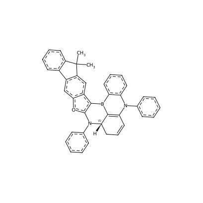 CC1(C)c2ccccc2-c2cc3oc4c(c3cc21)B1C2=C(C=CC[C@@H]2N4c2ccccc2)N(c2ccccc2)c2ccccc21